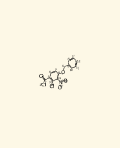 O=C(Cl)c1ccc(OCc2ccccc2)c([N+](=O)[O-])c1Cl